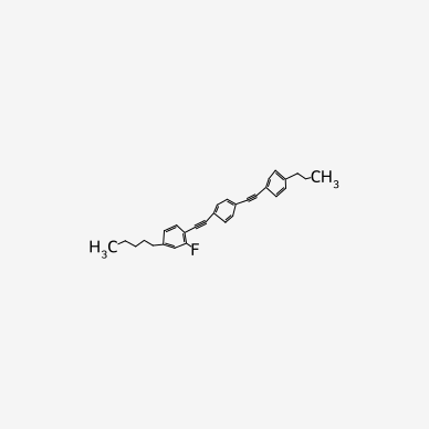 CCCCCc1ccc(C#Cc2ccc(C#Cc3ccc(CCC)cc3)cc2)c(F)c1